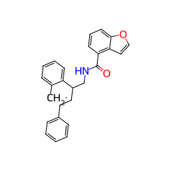 [CH2]c1ccccc1C(CCc1ccccc1)CNC(=O)c1cccc2occc12